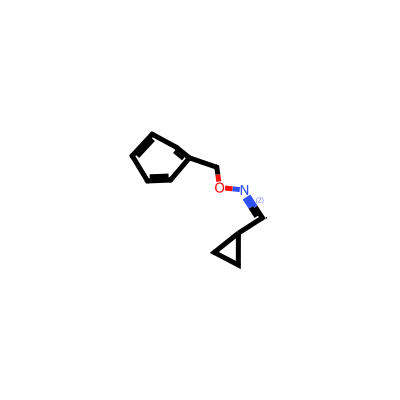 [C](=N/OCc1ccccc1)/C1CC1